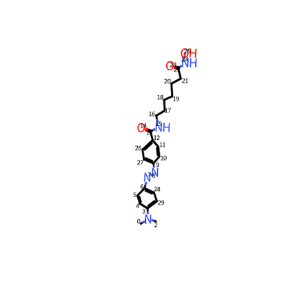 CN(C)c1ccc(N=Nc2ccc(C(=O)NCCCCCCC(=O)NO)cc2)cc1